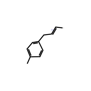 [CH2]/C=C/Cc1ccc(C)cc1